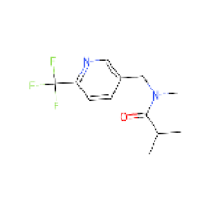 CC(C)C(=O)N(C)Cc1ccc(C(F)(F)F)nc1